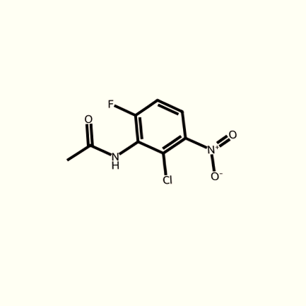 CC(=O)Nc1c(F)ccc([N+](=O)[O-])c1Cl